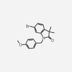 COc1ccc(CN2C(=O)C(C)(C)c3ccc(Br)cc32)cc1